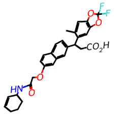 Cc1cc2c(cc1C(CC(=O)O)c1ccc3ccc(OCC(=O)NC4C=CCCC4)cc3c1)OC(F)(F)O2